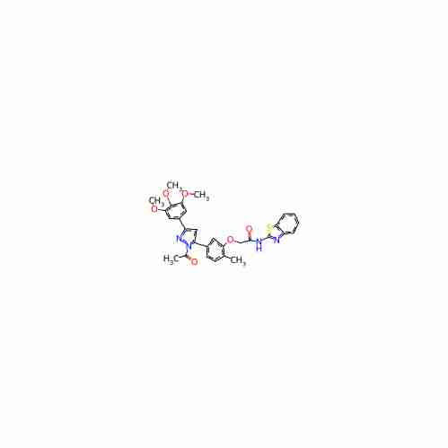 COc1cc(-c2cc(-c3ccc(C)c(OCC(=O)Nc4nc5ccccc5s4)c3)n(C(C)=O)n2)cc(OC)c1OC